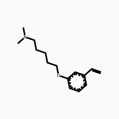 C=Cc1cccc(OCCCCCN(C)C)c1